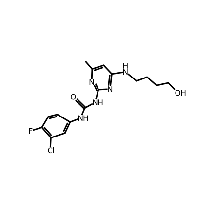 Cc1cc(NCCCCO)nc(NC(=O)Nc2ccc(F)c(Cl)c2)n1